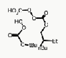 CC(C)(C)OC(=O)OO.CCCCC(CC)COC(=O)OOC(=O)O